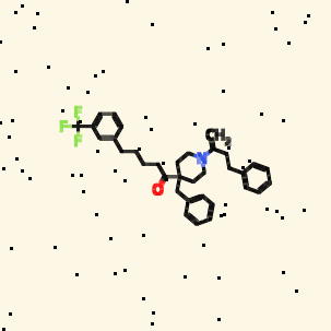 C=C(CCc1ccccc1)N1CCC(Cc2ccccc2)(C(=O)CCCCc2cccc(C(F)(F)F)c2)CC1